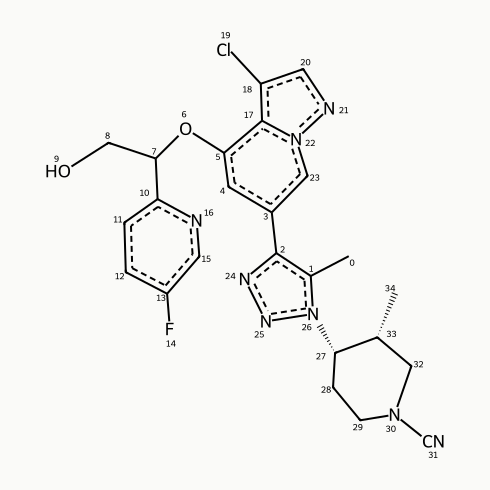 Cc1c(-c2cc(OC(CO)c3ccc(F)cn3)c3c(Cl)cnn3c2)nnn1[C@H]1CCN(C#N)C[C@H]1C